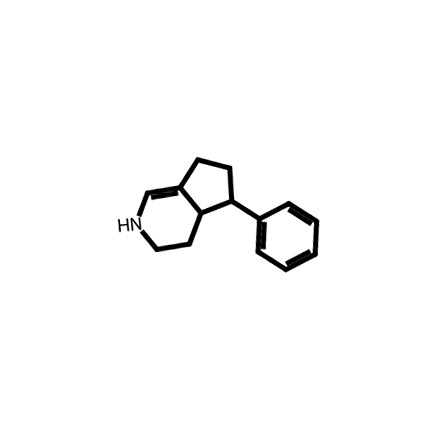 C1=C2CCC(c3ccccc3)C2CCN1